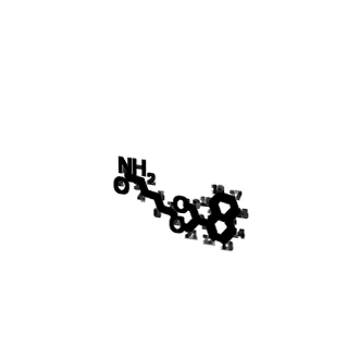 NC(=O)CCCCC1OCC(c2cccc3ccccc23)CO1